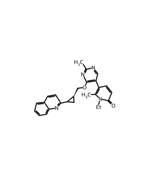 CCn1c(C)c(-c2cnc(C)nc2OC[C@H]2CC2c2ccc3ccccc3n2)ccc1=O